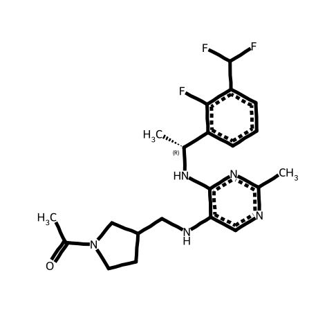 CC(=O)N1CCC(CNc2cnc(C)nc2N[C@H](C)c2cccc(C(F)F)c2F)C1